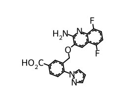 Nc1nc2c(F)ccc(F)c2cc1OCc1cc(C(=O)O)ccc1-n1cccn1